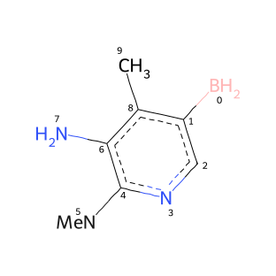 Bc1cnc(NC)c(N)c1C